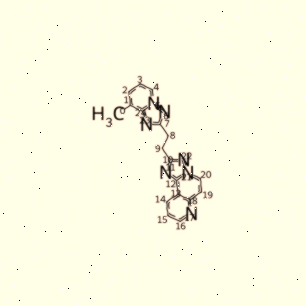 Cc1cccn2nc(CCc3nc4c5cccnc5ccn4n3)nc12